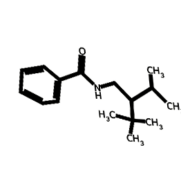 CC(C)C(CNC(=O)c1ccccc1)C(C)(C)C